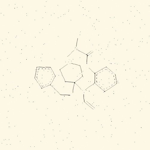 CN(C)C(=O)Oc1ccccc1N(C=O)C1(OCc2ccccc2)CCNCC1